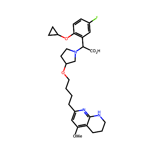 COc1cc(CCCCOC2CCN(C(C(=O)O)c3cc(F)ccc3OC3CC3)C2)nc2c1CCCN2